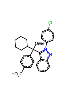 COC(c1ccc(C(=O)O)cc1)(c1c2ccccc2nn1-c1ccc(Cl)cc1)C1CCCCC1